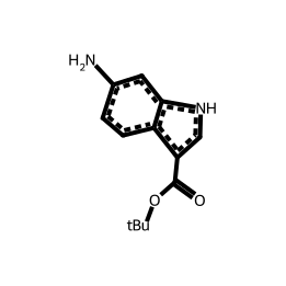 CC(C)(C)OC(=O)c1c[nH]c2cc(N)ccc12